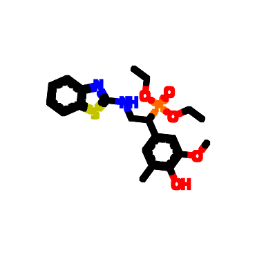 CCOP(=O)(OCC)C(CNc1nc2ccccc2s1)c1cc(C)c(O)c(OC)c1